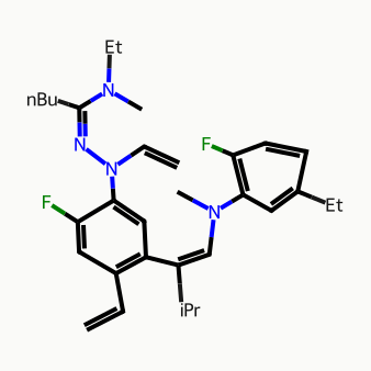 C=Cc1cc(F)c(N(C=C)/N=C(/CCCC)N(C)CC)cc1/C(=C\N(C)c1cc(CC)ccc1F)C(C)C